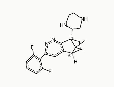 CC1(C)[C@H]2CC[C@]1(C1CNCCN1)c1nnc(-c3c(F)cccc3F)cc12